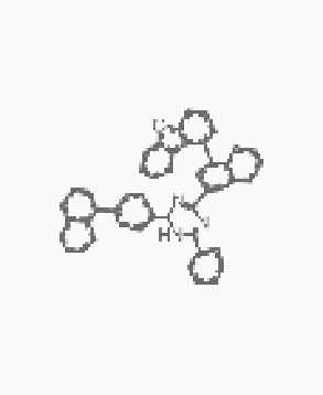 c1ccc(C2=NC(c3cc(-c4cccc5oc6ccccc6c45)c4ccccc4c3)=NC(c3ccc(-c4cccc5ccccc45)cc3)N2)cc1